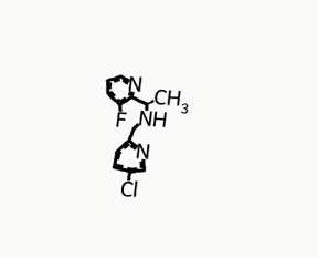 C[C@@H](NCc1ccc(Cl)cn1)c1ncccc1F